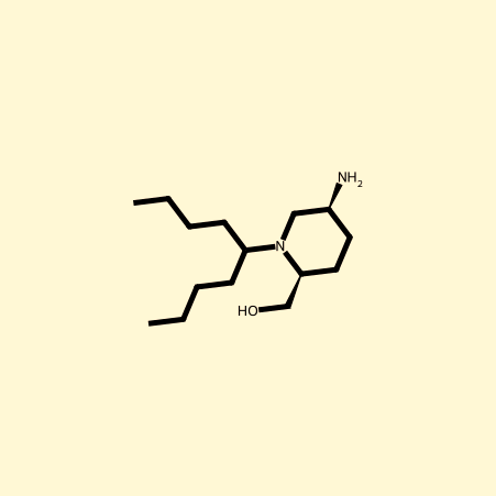 CCCCC(CCCC)N1C[C@@H](N)CC[C@H]1CO